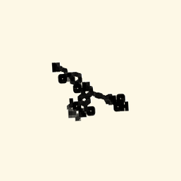 CC(C)Oc1cc2c(O[C@@H]3CCCN(C(=O)CC#N)C3)ncc(C#CC3CN(C(=O)O)C3)c2cc1C(N)=O